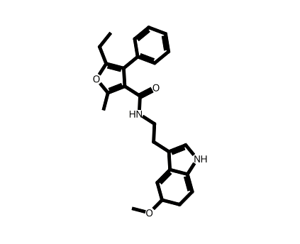 CCc1oc(C)c(C(=O)NCCc2c[nH]c3c2=CC(OC)CC=3)c1-c1ccccc1